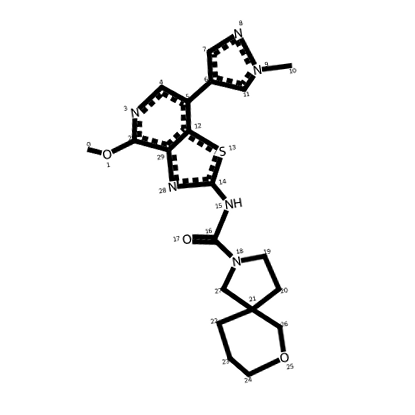 COc1ncc(-c2cnn(C)c2)c2sc(NC(=O)N3CCC4(CCCOC4)C3)nc12